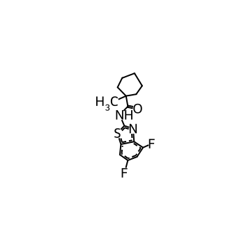 CC1(C(=O)Nc2nc3c(F)cc(F)cc3s2)CCCCC1